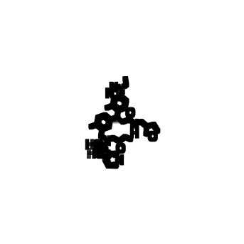 CCC1CN(Cc2cc([C@H](CC(=O)NCC3CCOC3)c3ccc4c(nnn4CC)c3C)ccc2C)S(O)(O)c2cccnc2O1